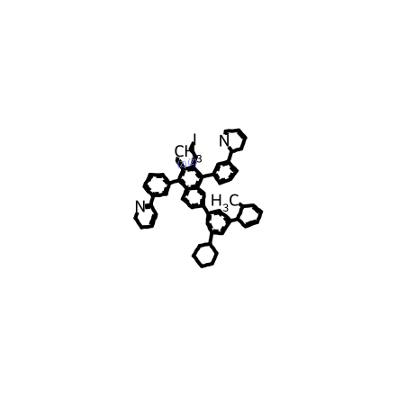 C/C=c1/c(-c2cccc(C3=NCCC=C3)c2)c2ccc(-c3cc(C4CCCCC4)cc(C4C=CC=CC4C)c3)cc2c(-c2cccc(C3CC=CC=N3)c2)/c1=C/CI